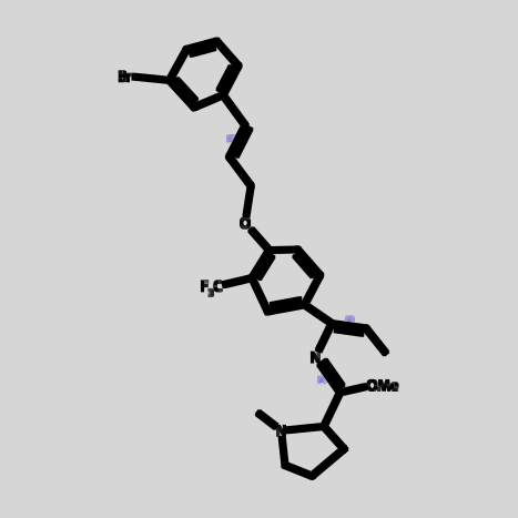 C/C=C(\N=C(/OC)C1CCCN1C)c1ccc(OC/C=C/c2cccc(Br)c2)c(C(F)(F)F)c1